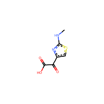 CNc1nc(C(=O)C(=O)O)cs1